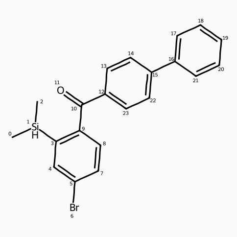 C[SiH](C)c1cc(Br)ccc1C(=O)c1ccc(-c2ccccc2)cc1